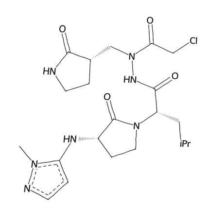 CC(C)C[C@@H](C(=O)NN(C[C@@H]1CCNC1=O)C(=O)CCl)N1CC[C@H](Nc2ccnn2C)C1=O